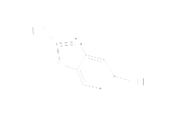 Cc1nc2c(s1)=CCC(C)C=2